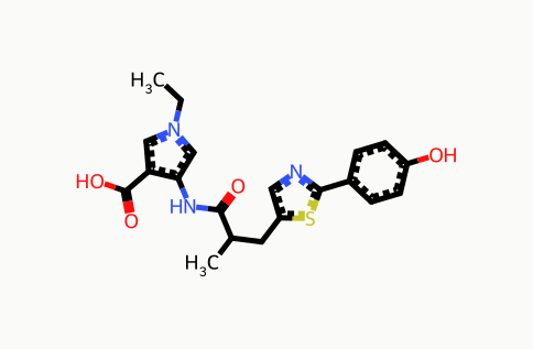 CCn1cc(NC(=O)C(C)Cc2cnc(-c3ccc(O)cc3)s2)c(C(=O)O)c1